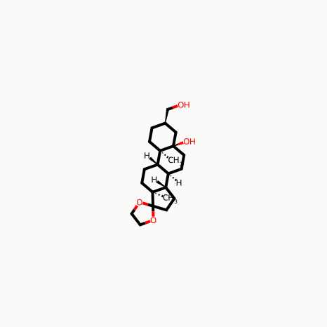 C[C@]12CC[C@H]3[C@@H](CC[C@@]4(O)C[C@H](CO)CC[C@]34C)[C@@H]1CCC21OCCO1